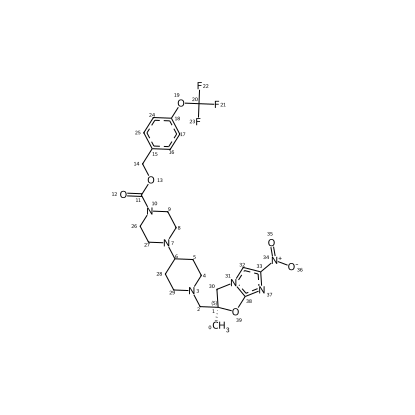 C[C@]1(CN2CCC(N3CCN(C(=O)OCc4ccc(OC(F)(F)F)cc4)CC3)CC2)Cn2cc([N+](=O)[O-])nc2O1